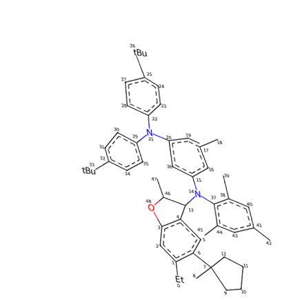 CCc1cc2c(cc1C1(C)CCCC1)C(N(c1cc(C)cc(N(c3ccc(C(C)(C)C)cc3)c3ccc(C(C)(C)C)cc3)c1)c1c(C)cc(C)cc1C)C(C)O2